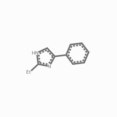 CCc1nc(-c2cc[c]cc2)c[nH]1